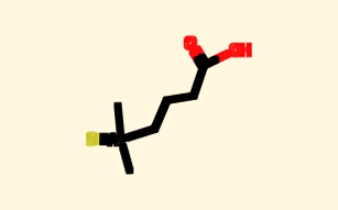 C[As](C)(=S)CCCC(=O)O